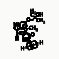 CC(C)C(O)C(=O)NC12CC3C[C@H](C1)N(c1ccc(-c4cc(OCC(C)(C)O)cn5ncc(C#N)c45)cn1)[C@@H](C3)C2